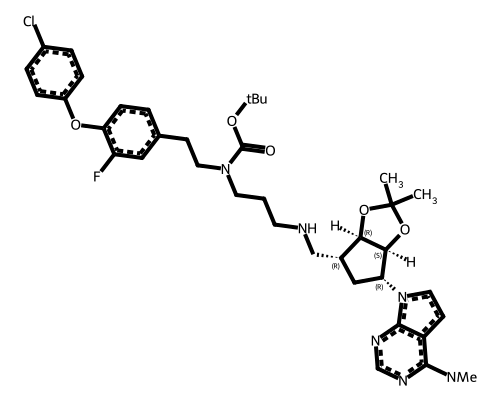 CNc1ncnc2c1ccn2[C@@H]1C[C@H](CNCCCN(CCc2ccc(Oc3ccc(Cl)cc3)c(F)c2)C(=O)OC(C)(C)C)[C@H]2OC(C)(C)O[C@H]21